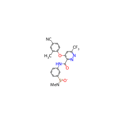 CN[S+]([O-])c1cccc(NC(=O)c2nnc(C(F)(F)F)cc2Oc2ccc(C#N)cc2C)c1